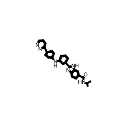 CC(C)NC(=O)c1ccc2nc(-c3cccc(Nc4ccc(-c5cccnn5)cc4)c3)[nH]c2c1